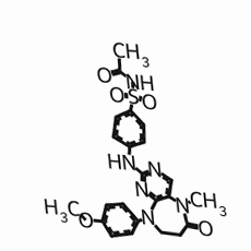 COc1ccc(N2CCC(=O)N(C)c3cnc(Nc4ccc(S(=O)(=O)NC(C)=O)cc4)nc32)cc1